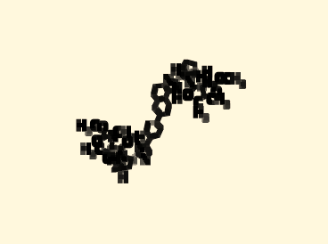 COC(=O)N[C@H](C(=O)N1[C@@H]2CC[C@@H](C2)[C@H]1c1nc2ccc3cc(-c4ccc(-c5cnc([C@@H]6C[C@H]7C[C@H]7N6C(=O)[C@H](C(C)C)N(C)C(=O)OC)[nH]5)cc4)ccc3c2[nH]1)C(C)C